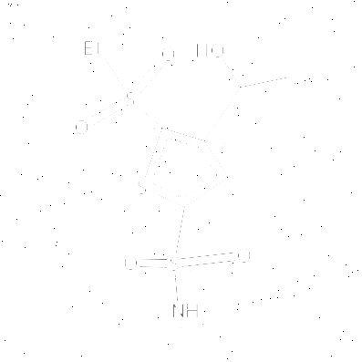 CCS(=O)(=O)c1sc(S(N)(=O)=O)cc1C(C)O